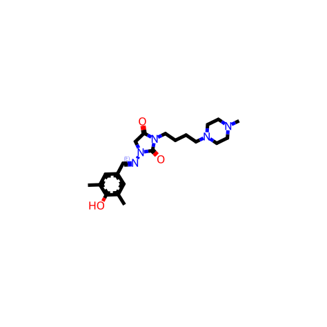 Cc1cc(/C=N/N2CC(=O)N(CCCCN3CCN(C)CC3)C2=O)cc(C)c1O